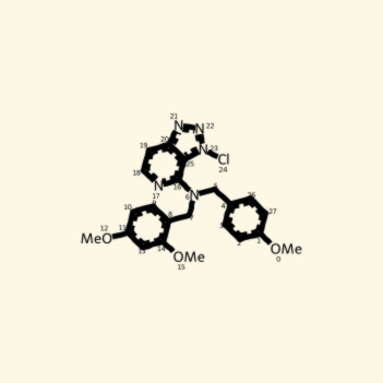 COc1ccc(CN(Cc2ccc(OC)cc2OC)c2nccc3nnn(Cl)c23)cc1